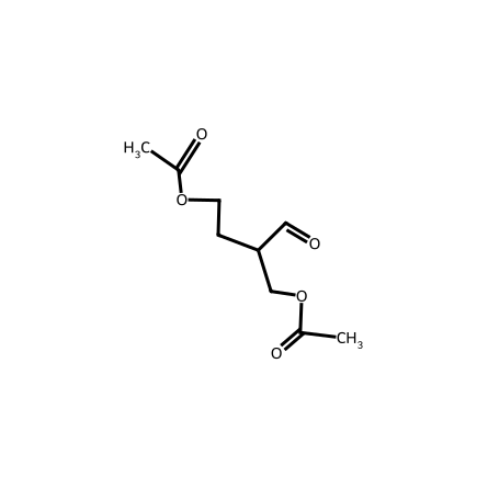 CC(=O)OCCC(C=O)COC(C)=O